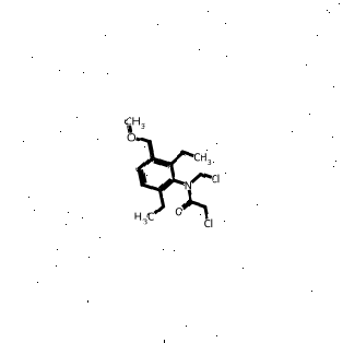 CCc1ccc(COC)c(CC)c1N(CCl)C(=O)CCl